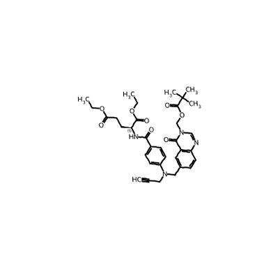 C#CCN(Cc1ccc2ncn(COC(=O)C(C)(C)C)c(=O)c2c1)c1ccc(C(=O)N[C@@H](CCC(=O)OCC)C(=O)OCC)cc1